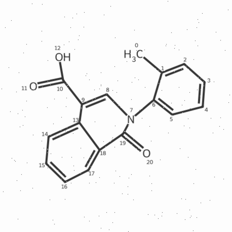 Cc1ccccc1-n1cc(C(=O)O)c2ccccc2c1=O